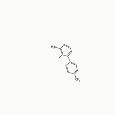 Cc1c(N)cccc1-c1ccc(C(F)(F)F)cc1